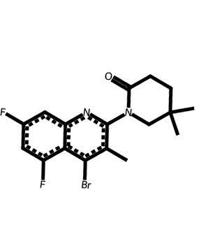 Cc1c(N2CC(C)(C)CCC2=O)nc2cc(F)cc(F)c2c1Br